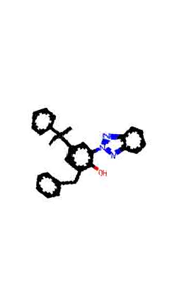 CC(C)(c1ccccc1)c1cc(Cc2ccccc2)c(O)c(-n2nc3ccccc3n2)c1